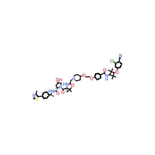 Cc1ncsc1-c1ccc([C@H](C)NC(=O)[C@@H]2C[C@@H](O)CN2C(=O)[C@@H](NC(=O)CN2CCC(OCCOc3ccc(C(=O)NC4C(C)(C)C(Oc5ccc(C#N)c(Cl)c5)C4(C)C)cc3)CC2)C(C)(C)C)cc1